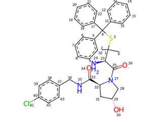 CC(C)(SC(c1ccccc1)(c1ccccc1)c1ccccc1)[C@H](N)C(=O)N1C[C@H](O)C[C@H]1C(=O)NCc1ccc(Cl)cc1